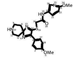 COc1ccc(C2=NC3(CCNCC3)N=C2SCC(=O)Nc2ccc(OC)nc2)cc1